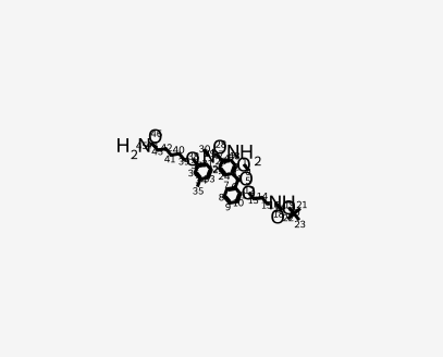 COc1c(C(=O)c2ccccc2OCCCNC(=O)OC(C)(C)C)ccc(C(=O)N(C)c2ccc(C)cc2OCCCCCC(N)=O)c1N